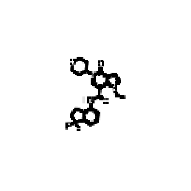 CCn1ccc2c(=O)n(C3CCOCC3)cc(C(=O)Nc3cccc4c3CCC4(F)F)c21